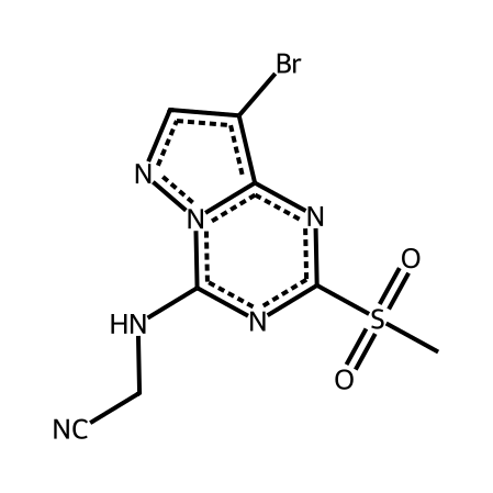 CS(=O)(=O)c1nc(NCC#N)n2ncc(Br)c2n1